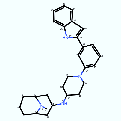 CN1C2CCCC1CC(NC1CCN(c3cccc(-c4cc5ccccc5[nH]4)c3)CC1)C2